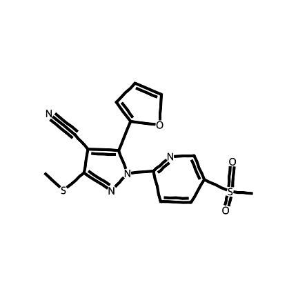 CSc1nn(-c2ccc(S(C)(=O)=O)cn2)c(-c2ccco2)c1C#N